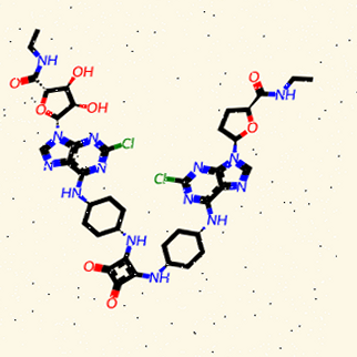 CCNC(=O)[C@@H]1CC[C@H](n2cnc3c(N[C@H]4CC[C@H](Nc5c(N[C@H]6CC[C@H](Nc7nc(Cl)nc8c7ncn8[C@@H]7O[C@H](C(=O)NCC)[C@@H](O)[C@H]7O)CC6)c(=O)c5=O)CC4)nc(Cl)nc32)O1